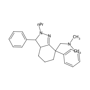 CCCN1N=C2C(CCCC2(CN(C)C)c2ccccc2)C1c1ccccc1